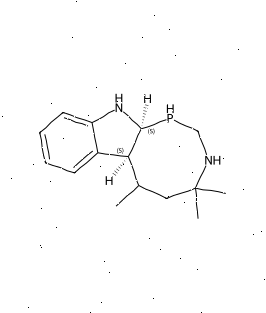 CC1CC(C)(C)NCP[C@@H]2Nc3ccccc3[C@H]12